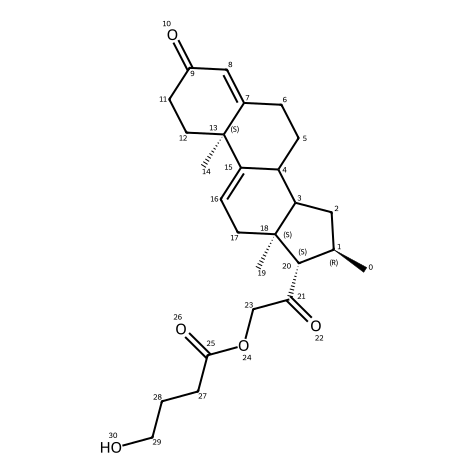 C[C@@H]1CC2C3CCC4=CC(=O)CC[C@]4(C)C3=CC[C@]2(C)[C@H]1C(=O)COC(=O)CCCO